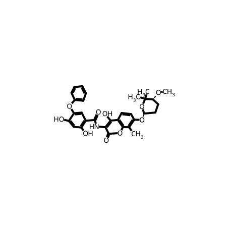 CO[C@@H]1CC[C@H](Oc2ccc3c(O)c(NC(=O)c4cc(Oc5ccccc5)c(O)cc4O)c(=O)oc3c2C)OC1(C)C